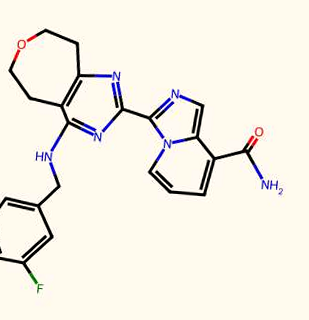 NC(=O)c1cccn2c(-c3nc4c(c(NCc5cccc(F)c5)n3)CCOCC4)ncc12